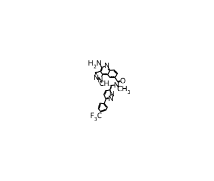 CN(Cc1ccc(-c2ccc(C(F)(F)F)cc2)nn1)C(=O)c1ccc2nc(N)c3cnn(C)c3c2c1